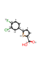 O=C(O)c1ccc(-c2ccc(F)c(Cl)c2)s1